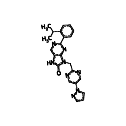 CC(C)c1ccccc1-c1ncc2[nH]c(=O)n(Cc3ncc(-n4cccn4)cn3)c2n1